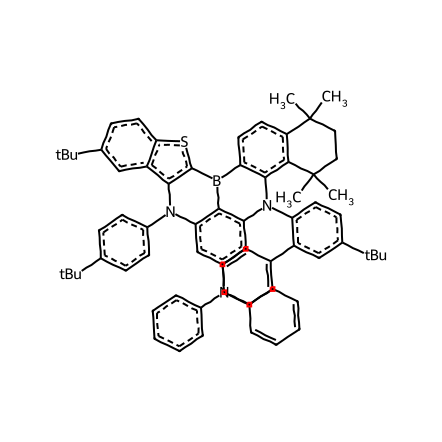 CC(C)(C)c1ccc(N2c3cc(N(c4ccccc4)C4C=CC=CC4)cc4c3B(c3ccc5c(c3N4c3ccc(C(C)(C)C)cc3C3=CCCC=C3)C(C)(C)CCC5(C)C)c3sc4ccc(C(C)(C)C)cc4c32)cc1